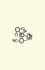 N#Cc1ccc(Cn2nnnc2-c2cnn(-c3c(Cl)cccc3Cl)c2Br)cc1